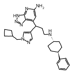 Nc1cc(C(CCN[C@H]2CC[C@H](c3ccccc3)CC2)c2cnn(CC3CCC3)c2)c2nn[nH]c2n1